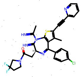 CC(=N)N1C(=N)[C@H](CC(=O)N2CCC(F)(F)C2)N=C(c2ccc(Cl)cc2)c2c1sc(C#Cc1ccccn1)c2C